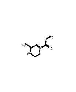 CCOC(=O)N1CCNC(N)C1